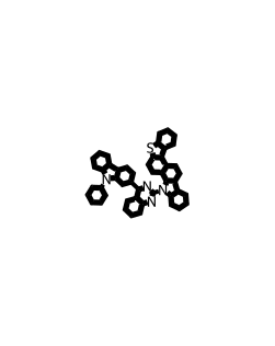 c1ccc(-n2c3ccccc3c3ccc(-c4nc(-n5c6ccccc6c6ccc7c(ccc8sc9ccccc9c87)c65)nc5ccccc45)cc32)cc1